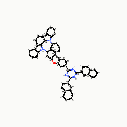 c1ccc(-n2c3ccccc3c3ccc4c5ccccc5n(-c5ccc6c(c5)oc5cc(-c7nc(-c8ccc9ccccc9c8)nc(-c8ccc9ccccc9c8)n7)ccc56)c4c32)cc1